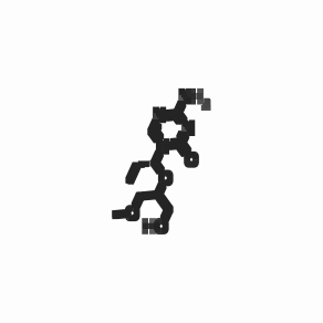 CC[C@@H](OC(CO)COC)n1cnc(N)nc1=O